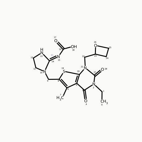 CCn1c(=O)c2c(C)c(CN3CCN/C3=N\C(=O)O)sc2n(CC2CCO2)c1=O